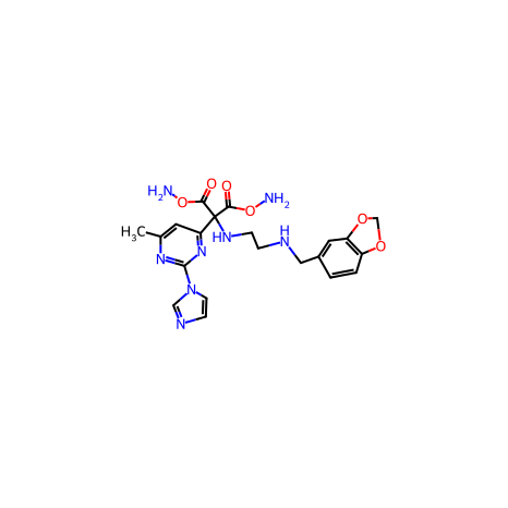 Cc1cc(C(NCCNCc2ccc3c(c2)OCO3)(C(=O)ON)C(=O)ON)nc(-n2ccnc2)n1